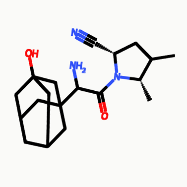 CC1C[C@@H](C#N)N(C(=O)C(N)C23CC4CC(CC(O)(C4)C2)C3)[C@H]1C